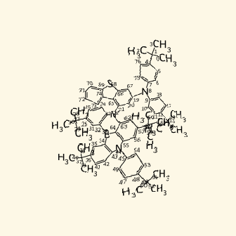 CC(C)(C)c1ccc(N(c2ccc(C(C)(C)C)cc2)c2cc(N3c4ccc(C(C)(C)C)cc4B4c5cc(C(C)(C)C)ccc5N(c5ccc(C(C)(C)C)cc5)c5cc(C(C)(C)C)cc3c54)c3c(c2)sc2ccccc23)cc1